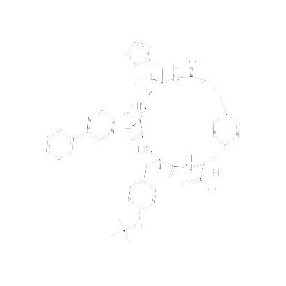 CC(C)(C)Oc1ccc(C[C@@H]2NC(=O)[C@H](Cc3ccc(-c4ccccc4)cc3)NC(=O)[C@H](Cc3cccs3)NC(=O)COc3ccc(cc3)C[C@@H](C(=O)O)NC2=O)cc1